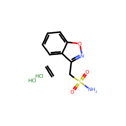 C=C.Cl.Cl.NS(=O)(=O)Cc1noc2ccccc12